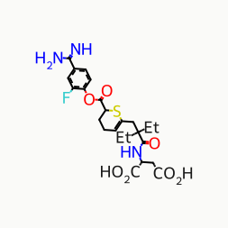 CCC(CC)(CC1=CCCC(C(=O)Oc2ccc(C(=N)N)cc2F)S1)C(=O)NC(CC(=O)O)C(=O)O